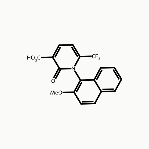 COc1ccc2ccccc2c1-n1c(C(F)(F)F)ccc(C(=O)O)c1=O